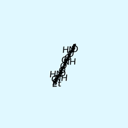 C=CCC(=O)NCCOCCOCC(=O)NCCOCCOCC(=O)NCCNC(=O)CSCC